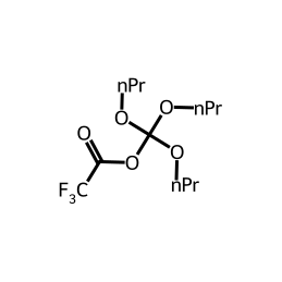 CCCOC(OCCC)(OCCC)OC(=O)C(F)(F)F